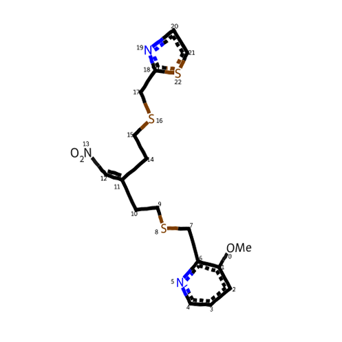 COc1cccnc1CSCCC(=C[N+](=O)[O-])CCSCc1nccs1